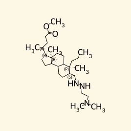 CCC[C@]1(C)C2CC[C@@]3(C)C(CC[C@@H]3[C@H](C)CCC(=O)OC)C2CC[C@@H]1CNNCCN(C)C